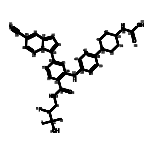 CC(C)(O)C(F)CNC(=O)c1cnc(-c2ccc3cc(C#N)cnn23)cc1Nc1ccc(N2CCC(NC(=O)O)CC2)nc1